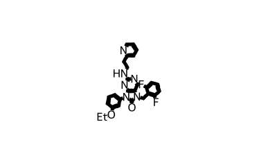 CCOc1cccc(-n2c(=O)n(Cc3c(F)cccc3F)c3cnc(NCCc4ccccn4)nc32)c1